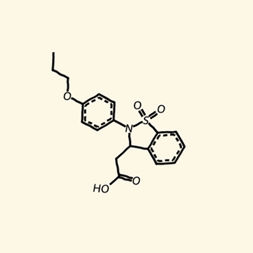 CCCOc1ccc(N2C(CC(=O)O)c3ccccc3S2(=O)=O)cc1